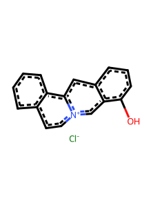 Oc1cccc2cc3c4ccccc4cc[n+]3cc12.[Cl-]